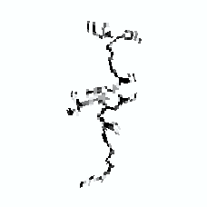 CCCCCCCCCCCCCCC(=O)CC(CC(=O)P(O)C(=O)CCCN(C)C)NC(=O)CCC